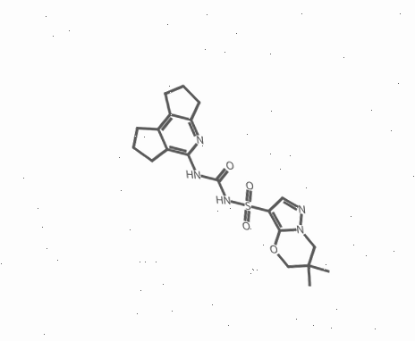 CC1(C)COc2c(S(=O)(=O)NC(=O)Nc3nc4c(c5c3CCC5)CCC4)cnn2C1